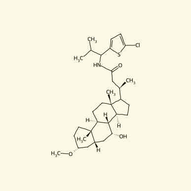 CO[C@@H]1CC[C@@]2(C)[C@@H](C1)C[C@@H](O)[C@@H]1[C@@H]2CC[C@]2(C)C([C@H](C)CC(=O)NC(c3ccc(Cl)s3)C(C)C)CC[C@@H]12